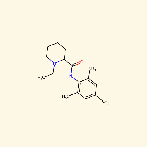 CCN1CCCCC1C(=O)Nc1c(C)cc(C)cc1C